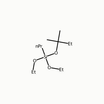 CCC[Si](OCC)(OCC)OC(C)(C)CC